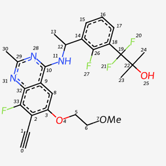 C#Cc1c(OCCOC)cc2c(NC(C)c3cccc(C(F)(F)C(C)(C)O)c3F)nc(C)nc2c1F